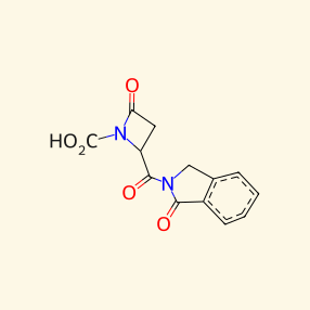 O=C1c2ccccc2CN1C(=O)C1CC(=O)N1C(=O)O